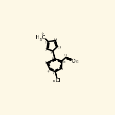 CC1=CC(c2ccc(Cl)cc2C=O)C=C1